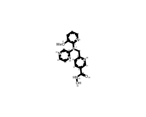 COc1cccnc1N(Cc1ccc(C(=O)NO)cn1)c1cnccn1